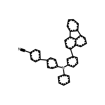 N#Cc1ccc(-c2ccc(N(c3ccccc3)c3cccc(-c4ccc5c6c(cccc46)-c4ccccc4-5)c3)cc2)cc1